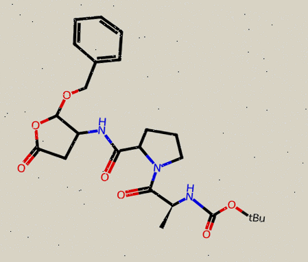 C[C@H](NC(=O)OC(C)(C)C)C(=O)N1CCCC1C(=O)NC1CC(=O)OC1OCc1ccccc1